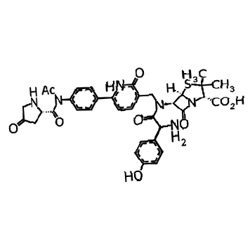 CC(=O)N(C(=O)[C@@H]1CC(=O)CN1)c1ccc(-c2ccc(CN(C(=O)C(N)c3ccc(O)cc3)[C@@H]3C(=O)N4[C@@H]3SC(C)(C)[C@@H]4C(=O)O)c(=O)[nH]2)cc1